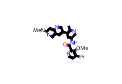 CNc1cc2ncc(-c3cc(NC(=O)c4nccc(C(C)C)c4OC)cnc3C)cc2cn1